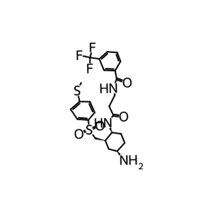 CSc1ccc(S(=O)(=O)C[C@@H]2C[C@H](N)CC[C@@H]2NC(=O)CCNC(=O)c2cccc(C(F)(F)F)c2)cc1